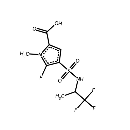 CC(NS(=O)(=O)c1cc(C(=O)O)n(C)c1F)C(F)(F)F